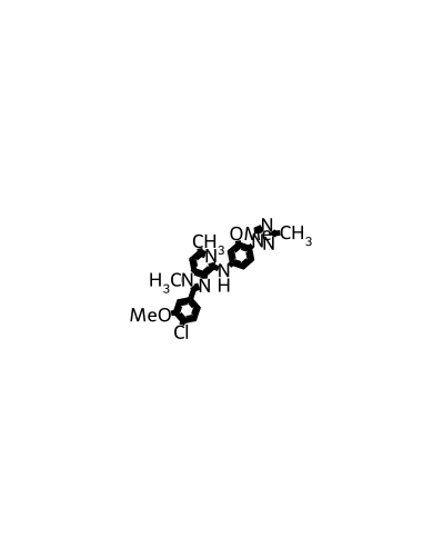 COc1cc(-c2nc3c(Nc4ccc(-n5cnc(C)n5)c(OC)c4)nc(C)cc3n2C)ccc1Cl